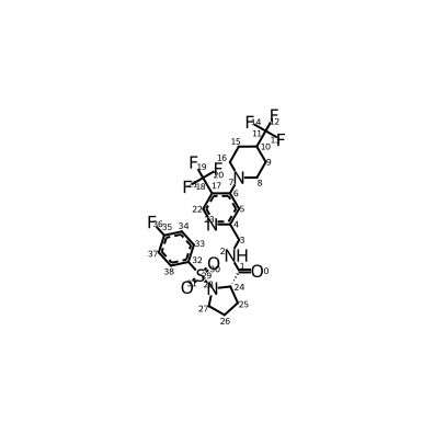 O=C(NCc1cc(N2CCC(C(F)(F)F)CC2)c(C(F)(F)F)cn1)[C@@H]1CCCN1S(=O)(=O)c1ccc(F)cc1